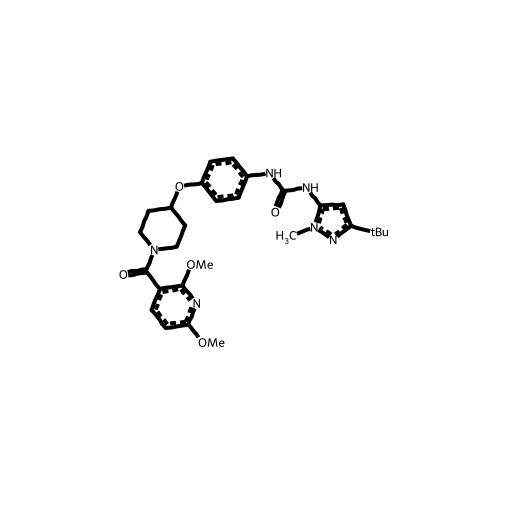 COc1ccc(C(=O)N2CCC(Oc3ccc(NC(=O)Nc4cc(C(C)(C)C)nn4C)cc3)CC2)c(OC)n1